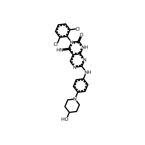 N=c1c2cnc(Nc3ccc(N4CCC(O)CC4)cc3)nc2[nH]c(=O)n1-c1c(Cl)cccc1Cl